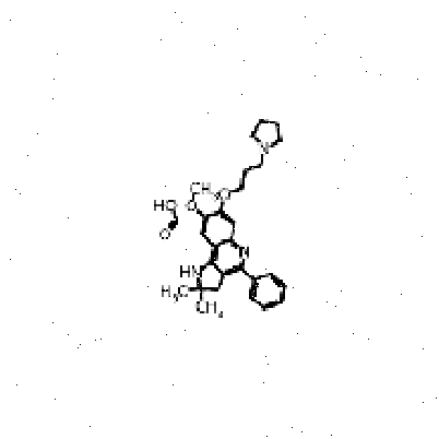 COc1cc2c3c(c(-c4ccccc4)nc2cc1OCCCN1CCCC1)CC(C)(C)N3.O=CO